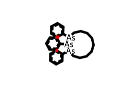 c1ccc([As]2CCCCCCCCC[As](c3ccccc3)[As]2c2ccccc2)cc1